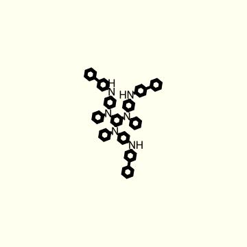 c1ccc(-c2ccc(Nc3ccc(N(c4ccccc4)c4cc(N(c5ccccc5)c5ccc(Nc6ccc(-c7ccccc7)cc6)cc5)cc(N(c5ccccc5)c5ccc(Nc6ccc(-c7ccccc7)cc6)cc5)c4)cc3)cc2)cc1